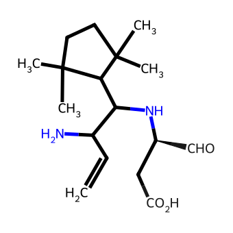 C=CC(N)C(N[C@@H](C=O)CC(=O)O)C1C(C)(C)CCC1(C)C